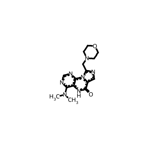 CN(C)c1ncnc2c1[nH]c(=O)c1cnc(CN3CCOCC3)n12